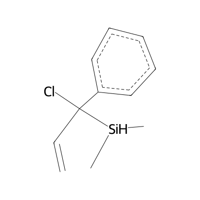 C=CC(Cl)(c1ccccc1)[SiH](C)C